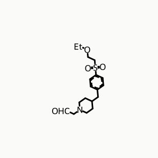 CCOCCS(=O)(=O)c1ccc(CC2CCN(CC=O)CC2)cc1